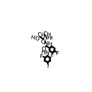 CNC(ONC(=O)c1ccc(F)c(F)c1Nc1ccc(I)cc1F)C(C)O